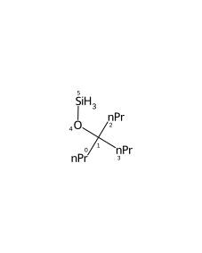 CCCC(CCC)(CCC)O[SiH3]